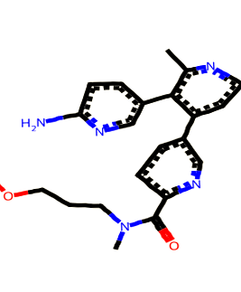 COCCCN(C)C(=O)c1ccc(-c2ccnc(C)c2-c2ccc(N)nc2)cn1